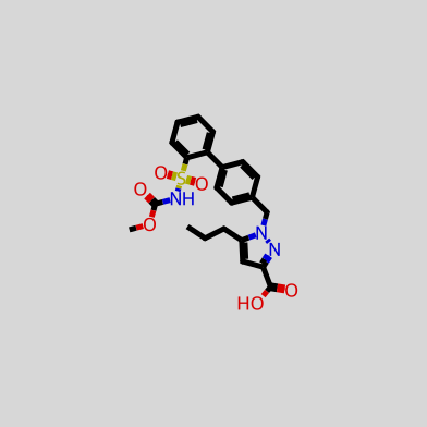 CCCc1cc(C(=O)O)nn1Cc1ccc(-c2ccccc2S(=O)(=O)NC(=O)OC)cc1